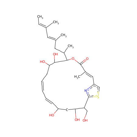 C/C=C(C)/C=C(\C)CC(C)C1OC(=O)/C(C)=C/c2csc(n2)C(CO)C(O)CC(O)/C=C/C=C\CC(O)C1O